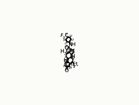 CC[C@@H]1C[C@H]2[C@@H]3CC[C@H](C(=O)Nc4ccc(C(F)(F)F)cc4)[C@@]3(C)CC[C@@H]2[C@@]2(C)CCC(=O)C=C12